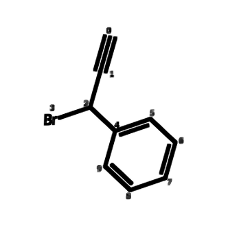 C#CC(Br)c1ccccc1